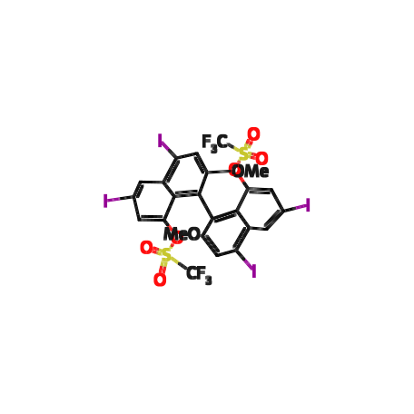 COc1cc(I)c2cc(I)cc(OS(=O)(=O)C(F)(F)F)c2c1-c1c(OC)cc(I)c2cc(I)cc(OS(=O)(=O)C(F)(F)F)c12